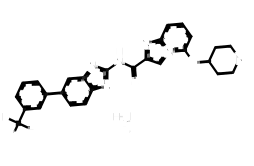 Cl.Cl.Cl.O=C(Nc1nc2cc(-c3cccc(C(F)(F)F)c3)ccc2[nH]1)c1cn2c(OC3CCNCC3)cccc2n1